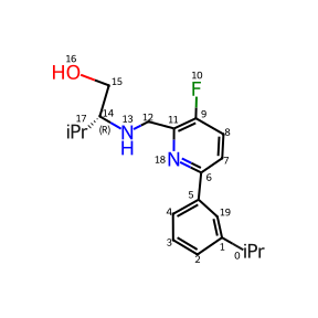 CC(C)c1cccc(-c2ccc(F)c(CN[C@@H](CO)C(C)C)n2)c1